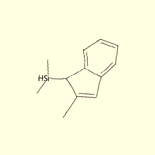 CC1=Cc2ccccc2C1[SiH](C)C